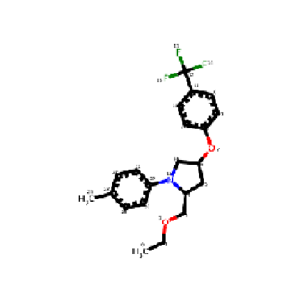 CCOC[C@@H]1CC(Oc2ccc(C(F)(F)F)cc2)CN1c1ccc(C)cc1